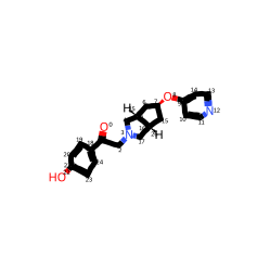 O=C(CN1C[C@H]2C[C@@H](Oc3ccncc3)C[C@H]2C1)c1ccc(O)cc1